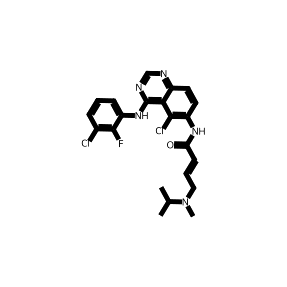 CC(C)N(C)C/C=C/C(=O)Nc1ccc2ncnc(Nc3cccc(Cl)c3F)c2c1Cl